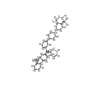 CC1CC(C)(C)c2cc(-c3ccc(-c4cccc(-n5c6c(c7cc8c(cc75)[nH]c5ccccc58)C=CCC6)c4)cc3)ccc2C1(C)C